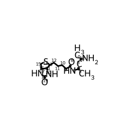 CC(N)=C=C(C)NC(=O)CCCCC1SCC2NC(=O)NC21